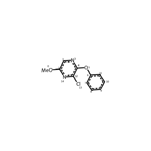 COc1cnc(Oc2ccccc2)c(Cl)n1